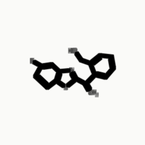 C=C(c1nc2cc(F)ccc2s1)c1ccccc1CO